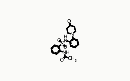 CC(=O)Nc1ccccc1S(=O)(=O)Nc1ccccc1N1CCC(=O)CC1